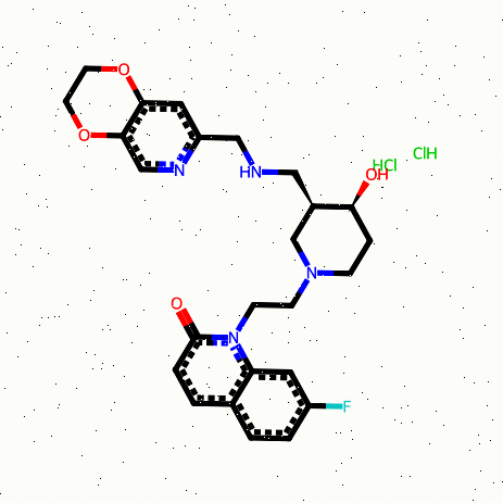 Cl.Cl.O=c1ccc2ccc(F)cc2n1CCN1CC[C@H](O)[C@H](CNCc2cc3c(cn2)OCCO3)C1